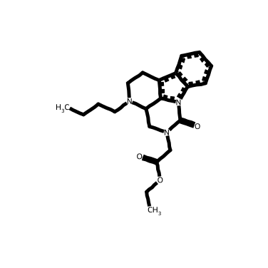 CCCCN1CCc2c3n(c4ccccc24)C(=O)N(CC(=O)OCC)CC31